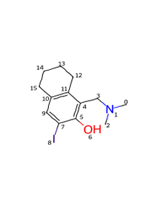 CN(C)Cc1c(O)c(I)cc2c1CCCC2